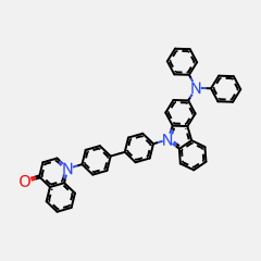 O=c1ccn(-c2ccc(-c3ccc(-n4c5ccccc5c5cc(N(c6ccccc6)c6ccccc6)ccc54)cc3)cc2)c2ccccc12